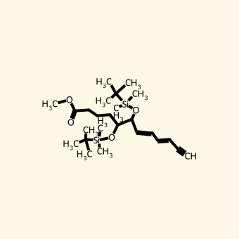 C#CC=CC=CC(O[Si](C)(C)C(C)(C)C)C(CCCC(=O)OC)O[Si](C)(C)C(C)(C)C